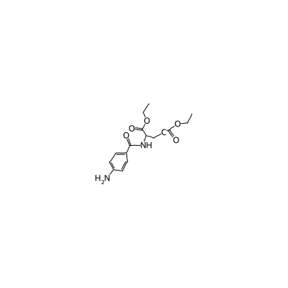 CCOC(=O)CCC(NC(=O)c1ccc(N)cc1)C(=O)OCC